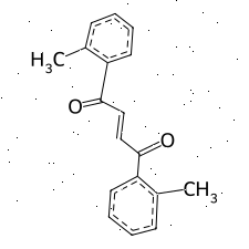 Cc1ccccc1C(=O)C=CC(=O)c1ccccc1C